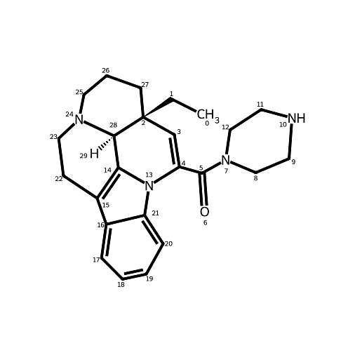 CC[C@]12C=C(C(=O)N3CCNCC3)n3c4c(c5ccccc53)CCN(CCC1)[C@H]42